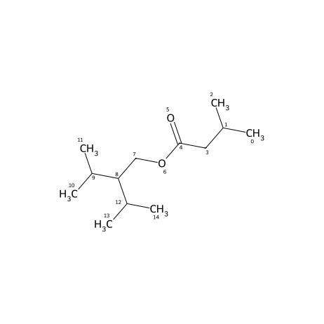 CC(C)CC(=O)OCC(C(C)C)C(C)C